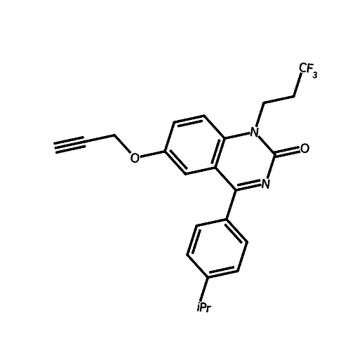 C#CCOc1ccc2c(c1)c(-c1ccc(C(C)C)cc1)nc(=O)n2CCC(F)(F)F